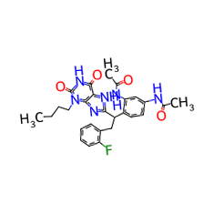 CCCCn1c(=O)[nH]c(=O)c2[nH]c(C(Cc3ccccc3F)c3ccc(NC(C)=O)cc3NC(C)=O)nc21